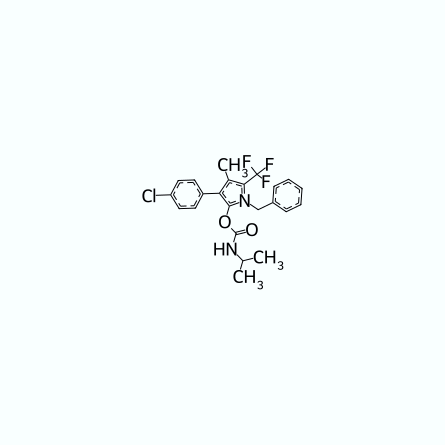 Cc1c(-c2ccc(Cl)cc2)c(OC(=O)NC(C)C)n(Cc2ccccc2)c1C(F)(F)F